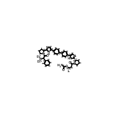 CCN(CC)C(C(=O)N1CCCC1c1ncc(-c2ccc(-c3ccc(-c4cnc([C@@H]5CCCN5C(=O)C[C@H](C)OC(N)=O)[nH]4)cc3)cc2)[nH]1)c1ccccc1